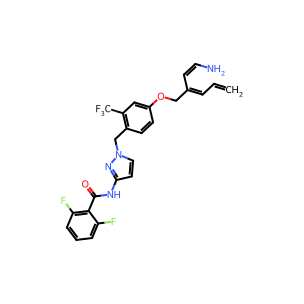 C=C/C=C(\C=C/N)COc1ccc(Cn2ccc(NC(=O)c3c(F)cccc3F)n2)c(C(F)(F)F)c1